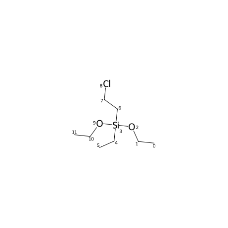 CCO[Si](CC)(CCCl)OCC